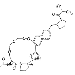 COC(=O)N[C@H]1COCCCCOc2cc3cc(C[C@@H]4CCCN4C(=O)[C@@H](C)C(C)C)ccc3cc2-c2c[nH]c(n2)[C@@H]2CCCN2C1=O